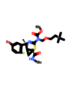 CC(C)(C)NC(=O)[C@]12CC1[C@@](C)(c1cc(Br)ccc1F)N=C(N(COCC[Si](C)(C)C)C(=O)OC(C)(C)C)S2